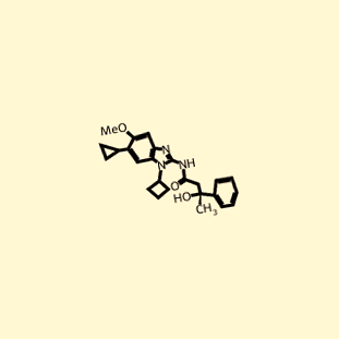 COc1cc2nc(NC(=O)C[C@@](C)(O)c3ccccc3)n(C3CCC3)c2cc1C1CC1